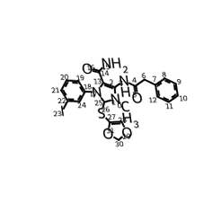 CN1C(NC(=O)Cc2ccccc2)=C(C(N)=O)N(c2cccc(I)c2)C1SC1=COCO1